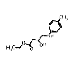 CCOC(=O)CC(O)CNc1ccc(C)cc1